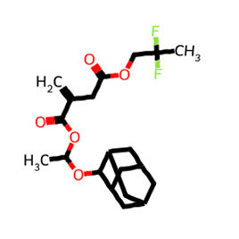 C=C(CC(=O)OCC(C)(F)F)C(=O)OC(C)OC1C2CC3CC(C2)CC1C3